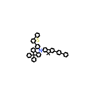 CC1(C)c2cc(-c3ccc(-c4ccccc4)cc3)ccc2-c2ccc(N(c3ccc(-c4cccc5c4sc4ccccc45)cc3)c3cccc4c3-c3ccccc3C4(c3ccccc3)c3ccccc3)cc21